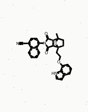 CC12CCC(CCOc3cccc4cc[nH]c34)(O1)C1C(=O)N(c3ccc(C#N)c4ccccc34)C(=O)C12